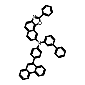 c1ccc(-c2cccc(N(c3ccc(-c4cc5ccccc5c5ccccc45)cc3)c3ccc4ccc5nc(-c6ccccc6)oc5c4c3)c2)cc1